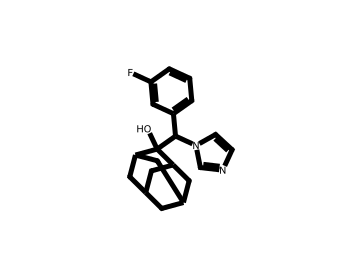 OC1(C(c2cccc(F)c2)n2ccnc2)C2CC3CC(C2)CC1C3